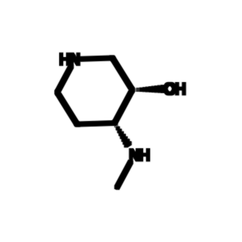 CN[C@@H]1CCNC[C@@H]1O